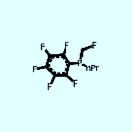 CCCP(CF)c1c(F)c(F)c(F)c(F)c1F